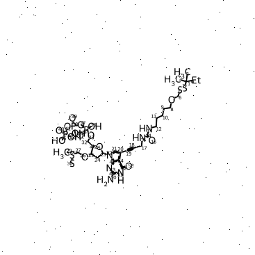 CCC(C)(C)SSCOCCCCCNC(=O)NCC#Cc1cn([C@H]2C[C@H](OCS(C)=S)[C@@H](COP(=O)(O)OP(=O)(O)OP(=O)(O)O)O2)c2nc(N)[nH]c(=O)c12